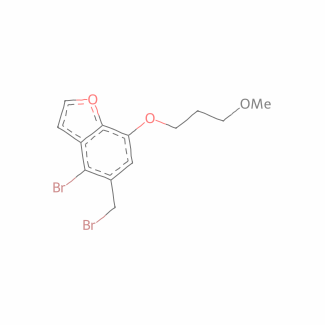 COCCCOc1cc(CBr)c(Br)c2ccoc12